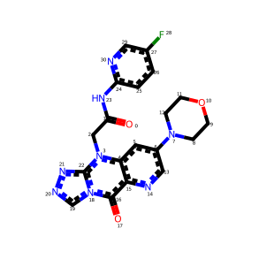 O=C(Cn1c2cc(N3CCOCC3)cnc2c(=O)n2cnnc12)Nc1ccc(F)cn1